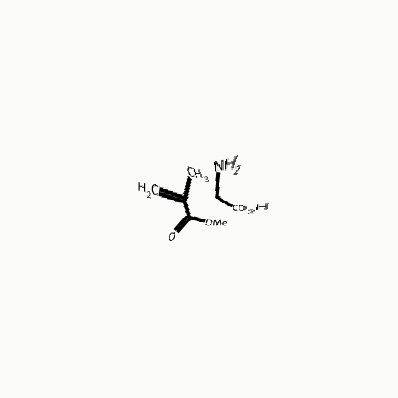 C=C(C)C(=O)OC.NCC(=O)O